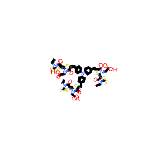 CCN1C(=O)/C(=c2\sc(=Cc3ccc(N(c4ccc(/C=c5\s/c(=C6/SC(=S)N(CC)C6=O)n(CC(=O)O)c5=O)cc4)c4ccc(/C=c5/s/c(=C6/SC(=S)N(CC)C6=O)n(CC(=O)O)c5=O)cc4)cc3)c(=O)n2CC(=O)O)SC1=S